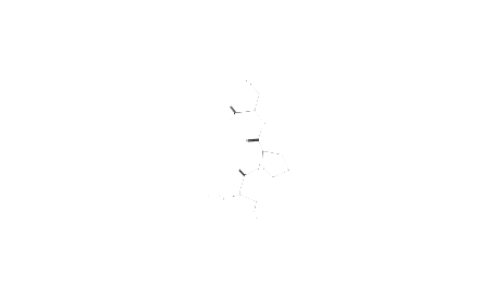 CC(=O)NC(CS)C(=O)N1CCCC1C(=O)NC(CN)C(=O)S